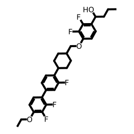 CCCC(O)c1ccc(OCC2CCC(c3ccc(-c4ccc(OCC)c(F)c4F)cc3F)CC2)c(F)c1F